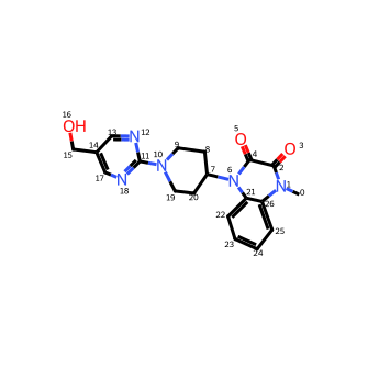 Cn1c(=O)c(=O)n(C2CCN(c3ncc(CO)cn3)CC2)c2ccccc21